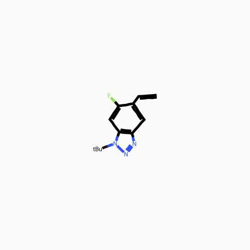 C=Cc1cc2nnn(C(C)(C)C)c2cc1F